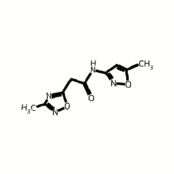 Cc1noc(CC(=O)Nc2cc(C)on2)n1